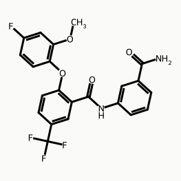 COc1cc(F)ccc1Oc1ccc(C(F)(F)F)cc1C(=O)Nc1cccc(C(N)=O)c1